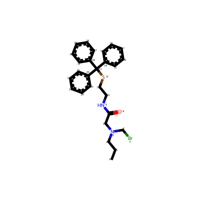 CCCN(CBr)CC(=O)NCCSC(c1ccccc1)(c1ccccc1)c1ccccc1